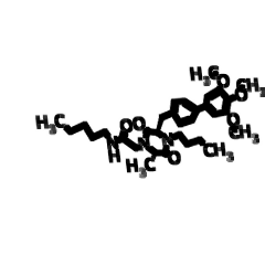 CCCCCNC(=O)CN1C(=O)[C@@H](Cc2ccc(-c3cc(OC)c(OC)c(OC)c3)cc2)N(CCCC)C(=O)[C@@H]1C